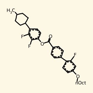 CCCCCCCCOc1ccc(-c2ccc(C(=O)Oc3ccc(C4CCC(C)CC4)c(F)c3F)cc2)c(F)c1